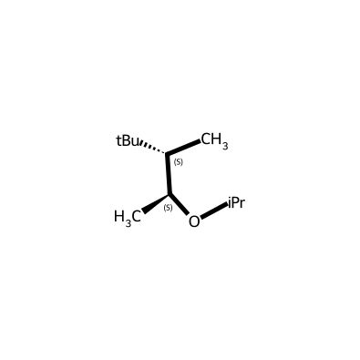 CC(C)O[C@@H](C)[C@@H](C)C(C)(C)C